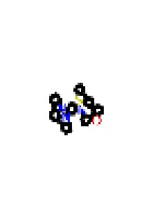 c1ccc2c(c1)oc1cccc(N(c3ccc4c(c3)n3c5ccccc5c5ccc6c7ccccc7n4c6c53)c3cccc4c3sc3ccccc34)c12